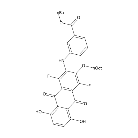 CCCCCCCCOc1c(F)c2c(c(F)c1Nc1cccc(C(=O)OCCCC)c1)C(=O)c1c(O)ccc(O)c1C2=O